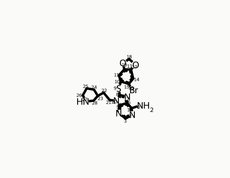 Nc1ncnc2c1nc(Sc1cc3c(cc1Br)OCO3)n2CCC1CCCNC1